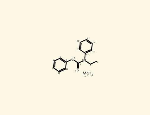 CCN(C(=S)Sc1ccccc1)c1ccccc1.[MgH2]